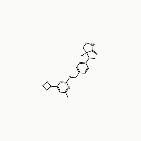 Cc1cc(N2CCC2)cc(OCc2ccc(C(C)[C@]3(C)CCNC3=O)cc2)n1